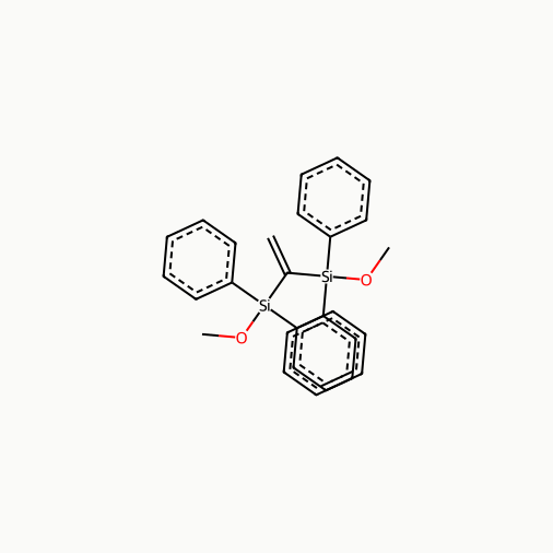 C=C([Si](OC)(c1ccccc1)c1ccccc1)[Si](OC)(c1ccccc1)c1ccccc1